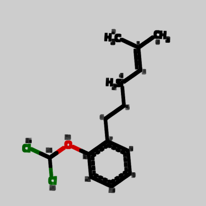 CC(C)=C[SiH2]CCc1ccccc1OC(Cl)Cl